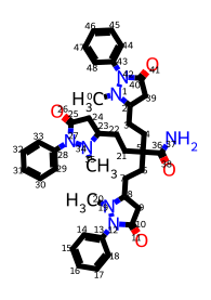 CN1C(CCC(CCC2CC(=O)N(c3ccccc3)N2C)(CCC2CC(=O)N(c3ccccc3)N2C)C(N)=O)CC(=O)N1c1ccccc1